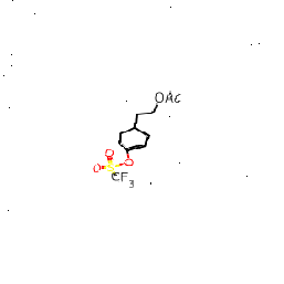 CC(=O)OCCC1CC=C(OS(=O)(=O)C(F)(F)F)CC1